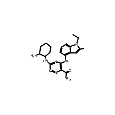 CCn1c(C)cc2c(Nc3nc(N[C@@H]4CCCC[C@@H]4N)nnc3C(N)=O)cccc21